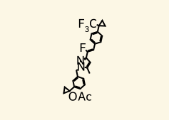 CC(=O)OC1(c2cccc(Cn3nc(C(F)=Cc4ccc(C5(C(F)(F)F)CC5)cc4)cc3C)c2)CC1